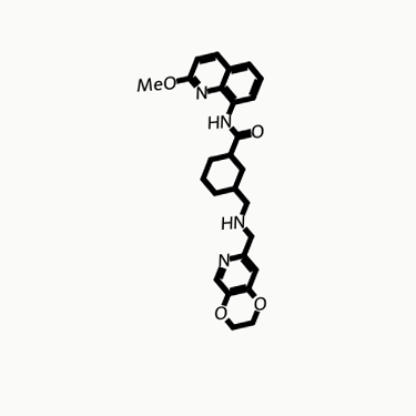 COc1ccc2cccc(NC(=O)C3CCCC(CNCc4cc5c(cn4)OCCO5)C3)c2n1